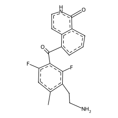 Cc1cc(F)c(C(=O)c2cccc3c(=O)[nH]ccc23)c(F)c1CCN